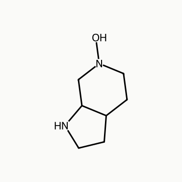 ON1CCC2CCNC2C1